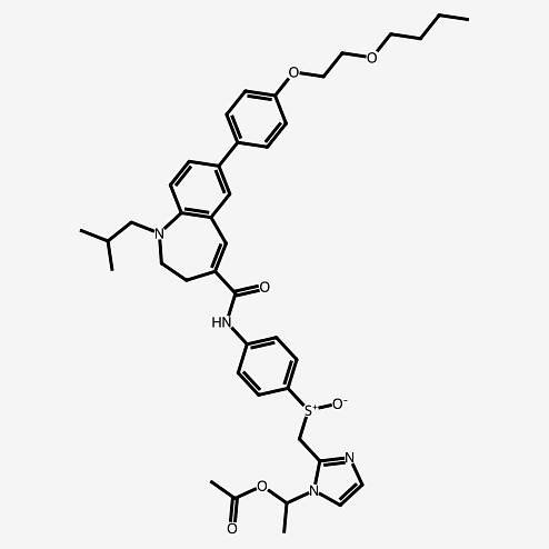 CCCCOCCOc1ccc(-c2ccc3c(c2)C=C(C(=O)Nc2ccc([S+]([O-])Cc4nccn4C(C)OC(C)=O)cc2)CCN3CC(C)C)cc1